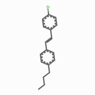 CCCCc1ccc(C=Cc2ccc(Br)cc2)cc1